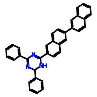 c1ccc(C2=NC(c3ccccc3)NC(c3ccc4cc(-c5ccc6ccccc6c5)ccc4c3)=N2)cc1